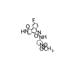 CS(=O)(=O)N1CCCC(Nc2nc3c4ccc(F)cc4c4c(=O)[nH]ccc4c3o2)C1